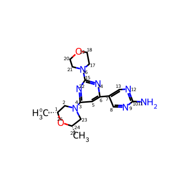 C[C@@H]1CN(c2cc(-c3cnc(N)nc3)nc(N3CCOCC3)n2)C[C@H](C)O1